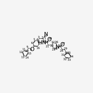 N#CC(Cc1ccc(OCc2ccccc2)cc1)NC(=O)CC1CCN(C(=O)CCc2ccccc2)CC1